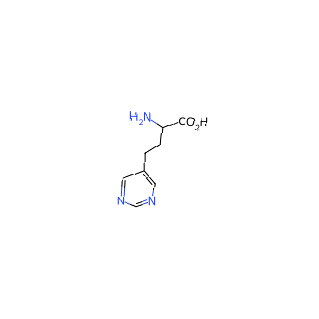 NC(CCc1cncnc1)C(=O)O